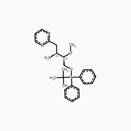 CO[C@@H](CO[Si](c1ccccc1)(c1ccccc1)C(C)(C)C)[C@@H](N)Cc1ncccn1